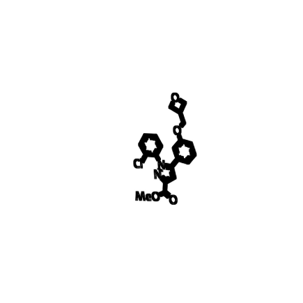 COC(=O)c1cc(-c2cccc(OCC3COC3)c2)n(-c2ccccc2Cl)n1